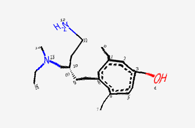 Cc1cc(O)cc(C)c1C[C@@H](CN)N(C)C